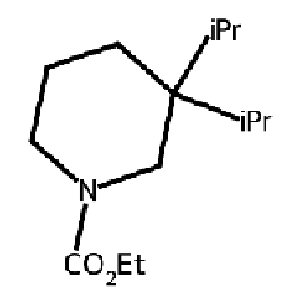 CCOC(=O)N1CCCC(C(C)C)(C(C)C)C1